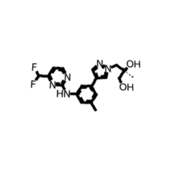 Cc1cc(Nc2nccc(C(F)F)n2)cc(-c2cnn(C[C@@](C)(O)CO)c2)c1